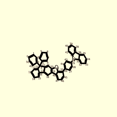 c1ccc(C2(c3ccccc3)c3ccccc3-c3cc4c(cc32)oc2c(-c3ccc(-n5c6ccccc6c6ccccc65)cc3)cccc24)cc1